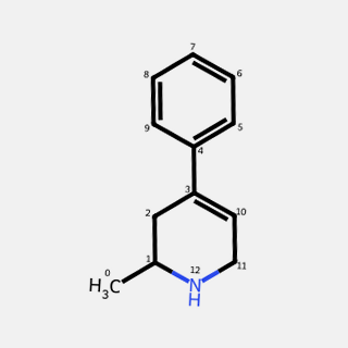 CC1CC(c2ccccc2)=CCN1